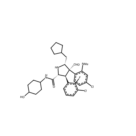 CNc1cc(Cl)ccc1[C@]1(C=O)[C@@H](CC2CCCC2)N[C@@H](C(=O)NC2CCC(O)CC2)[C@@H]1c1cccc(Cl)c1F